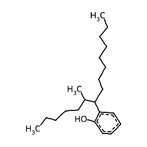 CCCCCCCCC(c1ccccc1O)C(C)CCCCC